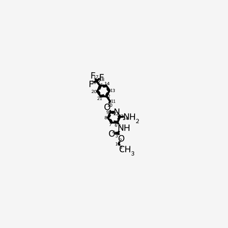 CCOC(=O)Nc1ccc(OCc2ccc(C(F)(F)F)cc2)nc1N